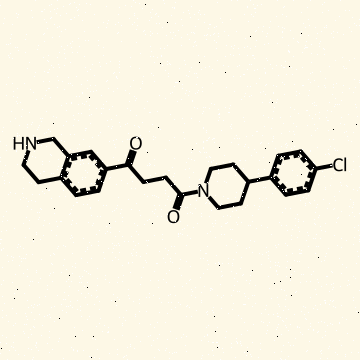 O=C(CCC(=O)N1CCC(c2ccc(Cl)cc2)CC1)c1ccc2c(c1)CNCC2